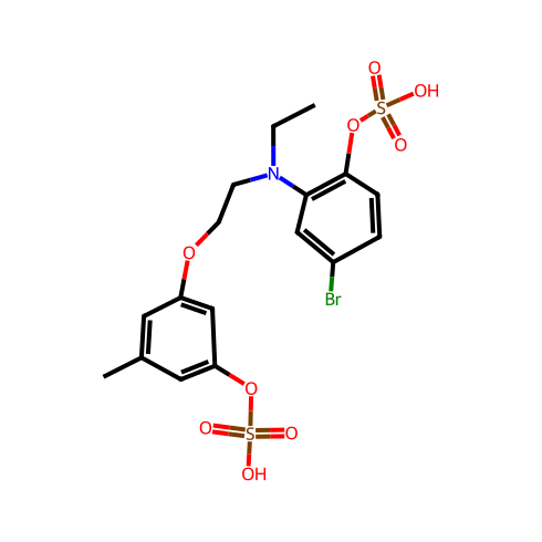 CCN(CCOc1cc(C)cc(OS(=O)(=O)O)c1)c1cc(Br)ccc1OS(=O)(=O)O